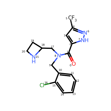 O=C(c1cc(C(F)(F)F)n[nH]1)N(Cc1ccccc1Cl)CC1CCN1